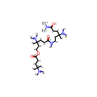 CCN(CC)C(=O)CCC(C)(CCN(C)C(=O)CCC(C)(CCOC(=O)CCC(C)(C)N(C)C)N(C)C)N(C)C